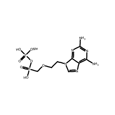 COP(=O)(O)OP(=O)(O)COCCn1cnc2c(N)nc(N)nc21